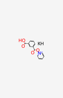 O=C(O)c1cccc(C(=O)O[n+]2ccccc2)c1.[KH]